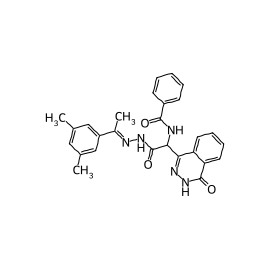 C/C(=N\NC(=O)C(NC(=O)c1ccccc1)c1n[nH]c(=O)c2ccccc12)c1cc(C)cc(C)c1